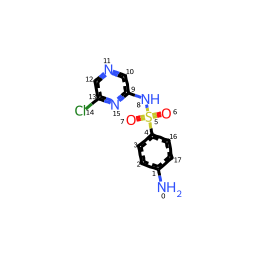 Nc1ccc(S(=O)(=O)Nc2cncc(Cl)n2)cc1